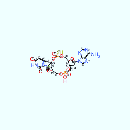 Nc1ncnc2c1ncn2[C@H]1C[C@@H]2OP(=O)(O)OCC3O[C@@H](n4ccc(=O)[nH]c4=O)[C@H](OP(=O)(S)OCC2O1)[C@@H]3F